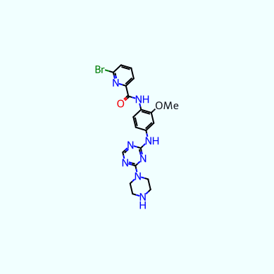 COc1cc(Nc2ncnc(N3CCNCC3)n2)ccc1NC(=O)c1cccc(Br)n1